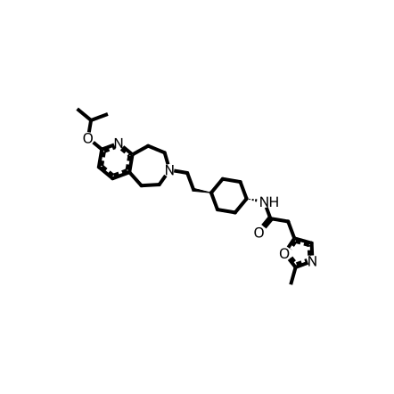 Cc1ncc(CC(=O)N[C@H]2CC[C@H](CCN3CCc4ccc(OC(C)C)nc4CC3)CC2)o1